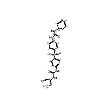 C=C/C(=C\C)NC(=O)Nc1ccc(S(=O)(=O)c2ccc(NC(=O)Nc3ccccc3)cc2)cc1